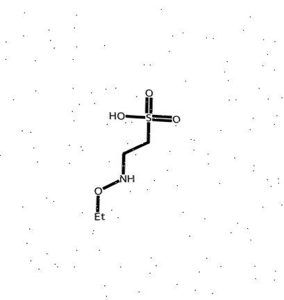 CCONCCS(=O)(=O)O